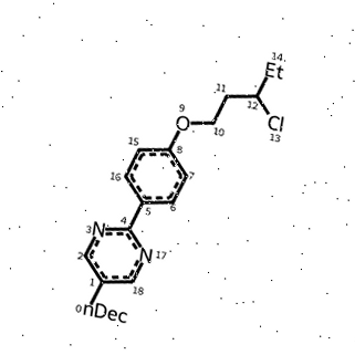 CCCCCCCCCCc1cnc(-c2ccc(OCCC(Cl)CC)cc2)nc1